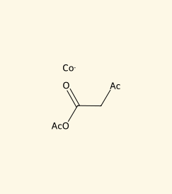 CC(=O)CC(=O)OC(C)=O.[Co]